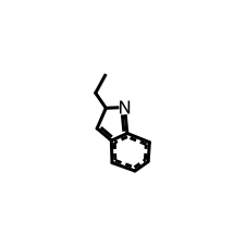 CCC1C=c2ccccc2=N1